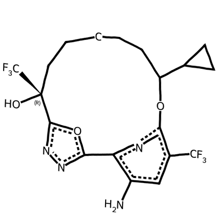 Nc1cc(C(F)(F)F)c2nc1-c1nnc(o1)[C@@](O)(C(F)(F)F)CCCCCC(C1CC1)O2